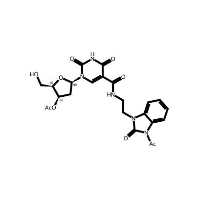 CC(=O)O[C@@H]1C[C@H](n2cc(C(=O)NCCn3c(=O)n(C(C)=O)c4ccccc43)c(=O)[nH]c2=O)O[C@@H]1CO